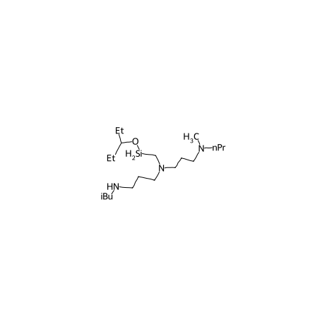 CCCN(C)CCCN(CCCNC(C)CC)C[SiH2]OC(CC)CC